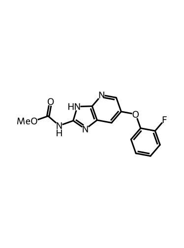 COC(=O)Nc1nc2cc(Oc3ccccc3F)cnc2[nH]1